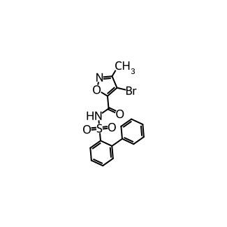 Cc1noc(C(=O)NS(=O)(=O)c2ccccc2-c2ccccc2)c1Br